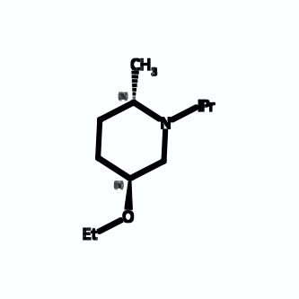 CCO[C@H]1CC[C@H](C)N(C(C)C)C1